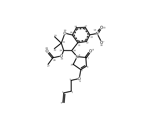 C=CCCOC1=CC(=O)N(C2c3cc([N+](=O)[O-])ccc3OC(C)(C)C2OC(C)=O)C1